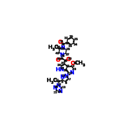 COc1cnc(-n2ccc(C(C)n3cncn3)n2)c2[nH]cc(C(=O)C(=O)N3CCN(C(=O)c4ccccc4)[C@H](C)C3)c12